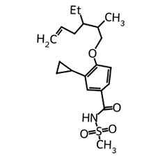 C=CCC(CC)C(C)COc1ccc(C(=O)NS(C)(=O)=O)cc1C1CC1